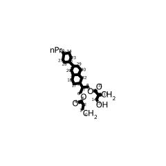 C=CCC(=O)OCC(COC(=O)C(=C)CO)C1CCC2CC(C3CCC(CCC)CC3)CCC2C1